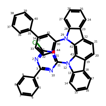 Clc1nc(-c2ccccc2)nc(-n2c3ccccc3c3ccc4c5ccccc5n(-c5cccc(-c6ccccc6)c5)c4c32)n1